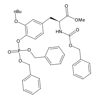 CCCCOc1cc(C[C@H](NC(=O)OCc2ccccc2)C(=O)OC)ccc1OP(=O)(OCc1ccccc1)OCc1ccccc1